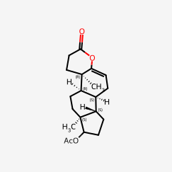 CC(=O)OC1CC[C@H]2[C@@H]3CC=C4OC(=O)CC[C@]4(C)[C@@H]3CC[C@]12C